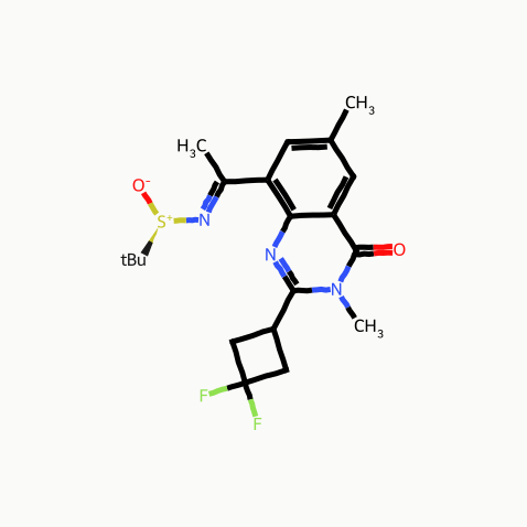 CC(=N[S@+]([O-])C(C)(C)C)c1cc(C)cc2c(=O)n(C)c(C3CC(F)(F)C3)nc12